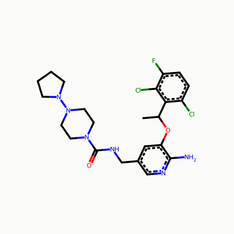 CC(Oc1cc(CNC(=O)N2CCN(N3CCCC3)CC2)cnc1N)c1c(Cl)ccc(F)c1Cl